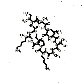 CC[C@H](C)[C@H](NC(=O)[C@H](CCC(=O)O)NC(=O)[C@@H](N)CCCCN)C(=O)N[C@@H](C)C(=O)N[C@@H](CC(N)=O)C(=O)N[C@@H](C)C(=O)N[C@H](C(=O)N[C@@H](C)C(=O)N[C@@H](CCCCN)C(=O)N1CCC[C@H]1C(=O)O)[C@@H](C)O